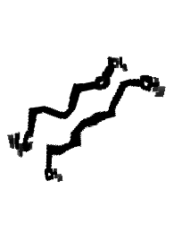 CCCCCCC.CCCCOC